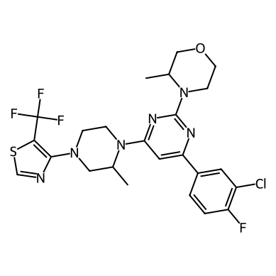 CC1CN(c2ncsc2C(F)(F)F)CCN1c1cc(-c2ccc(F)c(Cl)c2)nc(N2CCOCC2C)n1